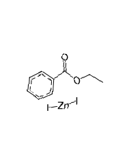 CCOC(=O)c1ccccc1.[I][Zn][I]